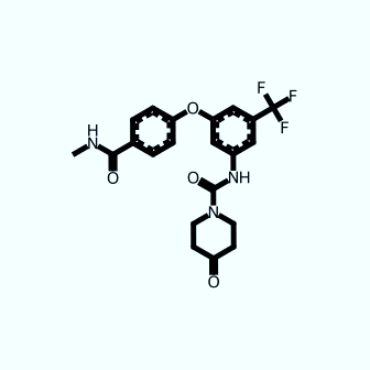 CNC(=O)c1ccc(Oc2cc(NC(=O)N3CCC(=O)CC3)cc(C(F)(F)F)c2)cc1